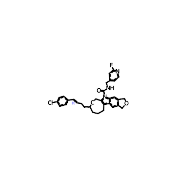 O=C(NCc1ccnc(F)c1)n1c2c(c3cc4c(cc31)COC4)CCCC(CC/C=C/c1ccc(Cl)cc1)CC2